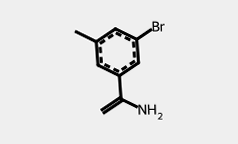 C=C(N)c1cc(C)cc(Br)c1